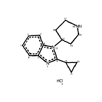 Cl.c1ccc2c(c1)nc(C1CC1)n2C1CCNCC1